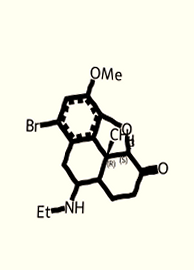 CCNC1Cc2c(Br)cc(OC)c3c2[C@@]2(C)C1CCC(=O)[C@H]2O3